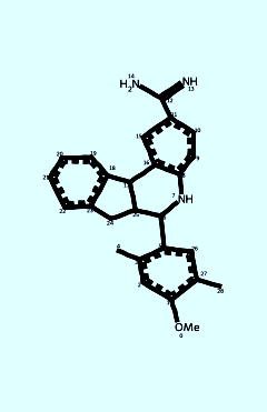 COc1cc(C)c(C2Nc3ccc(C(=N)N)cc3C3c4ccccc4CC23)cc1C